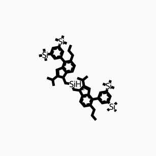 CCCc1ccc2c(c1-c1cc([Si](C)(C)C)cc([Si](C)(C)C)c1)C=C(C(C)C)C2C[SiH2]CC1C(C(C)C)=Cc2c1ccc(CCC)c2-c1cc([Si](C)(C)C)cc([Si](C)(C)C)c1